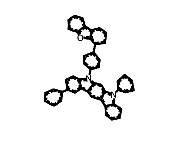 c1ccc(-c2ccc3c(c2)c2cc4c5ccccc5n(-c5ccccc5)c4cc2n3-c2ccc(-c3cccc4c3oc3ccccc34)cc2)cc1